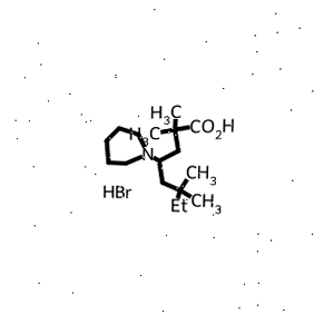 Br.CCC(C)(C)CC(CC(C)(C)C(=O)O)N1CCCCC1